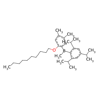 CCCCCCCCCCOc1cc(C)c(C)cc1B(C)c1c(C(C)C)cc(C(C)C)cc1C(C)C